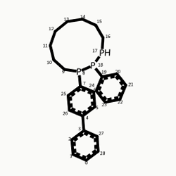 c1ccc(-c2ccc(P3CCCCCCCCPP3c3ccccc3)cc2)cc1